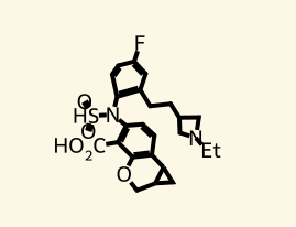 CCN1CC(CCc2cc(F)ccc2N(c2ccc3c(c2C(=O)O)OCC2CC32)[SH](=O)=O)C1